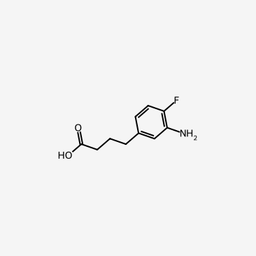 Nc1cc(CCCC(=O)O)ccc1F